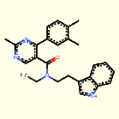 Cc1ncc(C(=O)N(CCc2c[nH]c3ccccc23)CC(F)(F)F)c(-c2ccc(C)c(C)c2)n1